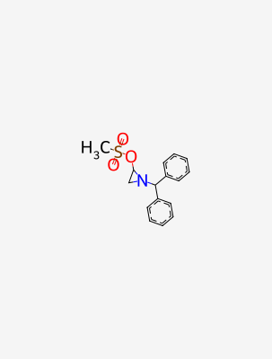 CS(=O)(=O)OC1CN1C(c1ccccc1)c1ccccc1